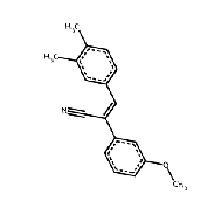 COc1cccc(C(C#N)=Cc2ccc(C)c(C)c2)c1